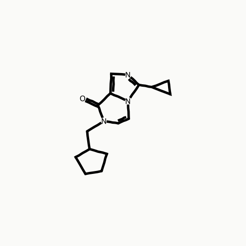 O=c1c2cnc(C3CC3)n2ccn1CC1CCCC1